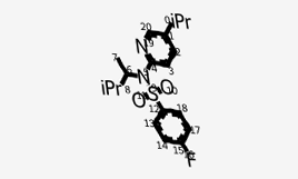 CC(C)c1ccc(N(C(C)C(C)C)S(=O)(=O)c2ccc(F)cc2)nc1